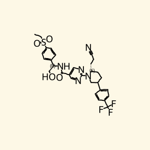 CCS(=O)(=O)c1ccc([C@H](CO)NC(=O)c2cnc(N3CC(c4ccc(C(F)(F)F)cc4)CC[C@H]3CCC#N)nc2)cc1